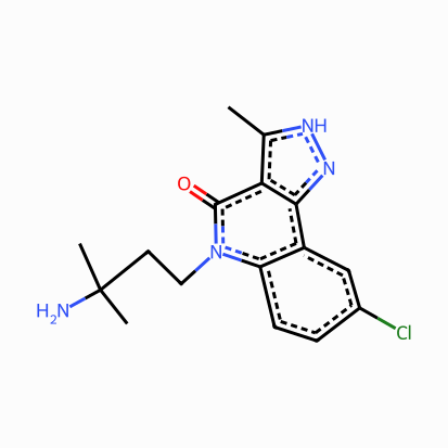 Cc1[nH]nc2c1c(=O)n(CCC(C)(C)N)c1ccc(Cl)cc21